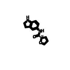 O=C(Nc1ccc2c(c1)CCN2)[C@@H]1CCCO1